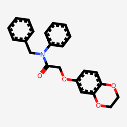 O=C(COc1ccc2c(c1)OCCO2)N(Cc1ccccc1)c1ccccc1